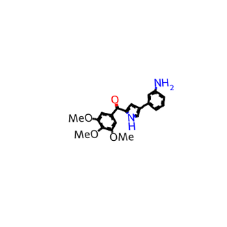 COc1cc(C(=O)c2cc(-c3cccc(N)c3)c[nH]2)cc(OC)c1OC